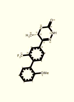 COc1ccccc1-c1ccc(C2=NNC(=O)O[C@H]2C)cc1C(F)(F)F